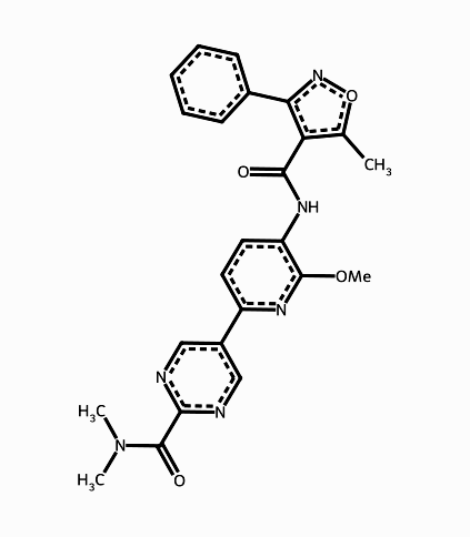 COc1nc(-c2cnc(C(=O)N(C)C)nc2)ccc1NC(=O)c1c(-c2ccccc2)noc1C